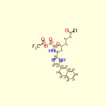 CCC(=O)CCCCCC(NC(=O)C(=O)OC(=O)C(F)(F)F)c1ncc(-c2ccc3ccccc3c2)[nH]1